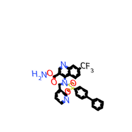 NOC(=O)c1cnc2cc(C(F)(F)F)ccc2c1N(Cc1cccnc1)S(=O)(=O)c1ccc(-c2ccccc2)cc1